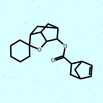 O=C(OC1C2CC3C1OC1(CCCCC1)C3C2)C1CC2C=CC1C2